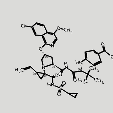 C=C[C@@H]1C[C@@]1(C(=O)NS(=O)(=O)C1CC1)N1C[C@H](Oc2ncc(OC)c3ccc(Cl)cc23)C[C@H]1C(=O)NC(=O)[C@H](Nc1ccc(C(=O)O)cc1)C(C)(C)C